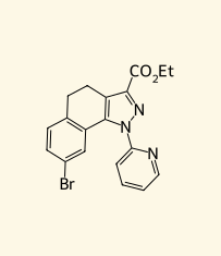 CCOC(=O)c1nn(-c2ccccn2)c2c1CCc1ccc(Br)cc1-2